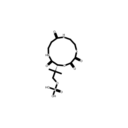 CC(C)(COP(=O)(O)O)[C@H]1OC(=O)C(=O)SCCNC(=O)CCNC1=O